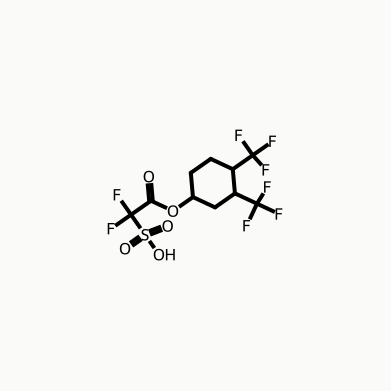 O=C(OC1CCC(C(F)(F)F)C(C(F)(F)F)C1)C(F)(F)S(=O)(=O)O